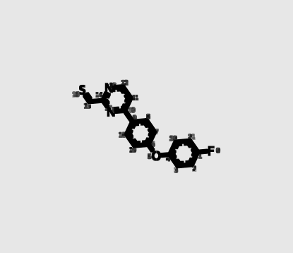 Fc1ccc(Oc2ccc(-c3ccnc(C=S)n3)cc2)cc1